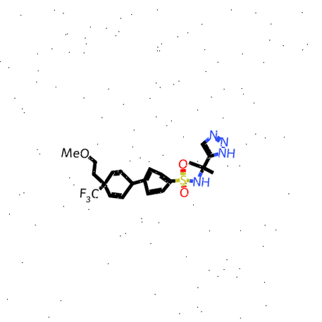 COCCC1(C(F)(F)F)C=CC(c2ccc(S(=O)(=O)NC(C)(C)c3cnn[nH]3)cc2)C=C1